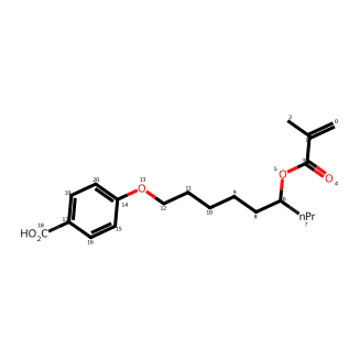 C=C(C)C(=O)OC(CCC)CCCCCOc1ccc(C(=O)O)cc1